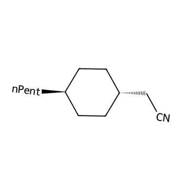 CCCCC[C@H]1CC[C@H](CC#N)CC1